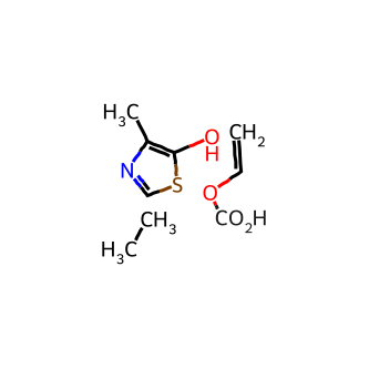 C=COC(=O)O.CC.Cc1ncsc1O